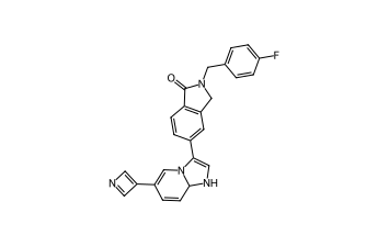 O=C1c2ccc(C3=CNC4C=CC(C5=CN=C5)=CN34)cc2CN1Cc1ccc(F)cc1